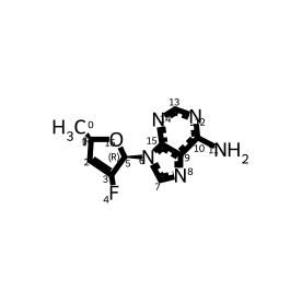 C[C@@H]1C=C(F)[C@H](n2cnc3c(N)ncnc32)O1